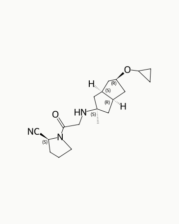 C[C@]1(NCC(=O)N2CCC[C@H]2C#N)C[C@H]2C[C@@H](OC3CC3)C[C@H]2C1